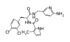 Cc1cc[nH]c1C(=O)N[C@@H](Cc1ccc(Cl)c(Cl)c1)C(=O)NCc1ccc(N)nc1